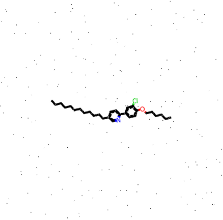 CCCCCCCCCCCCc1ccc(-c2ccc(OCCCCCC)c(Cl)c2)nc1